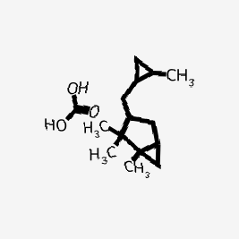 CC1CC1CC1CC2CC2(C)C1(C)C.O=C(O)O